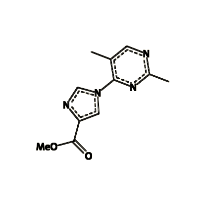 COC(=O)c1cn(-c2nc(C)ncc2C)cn1